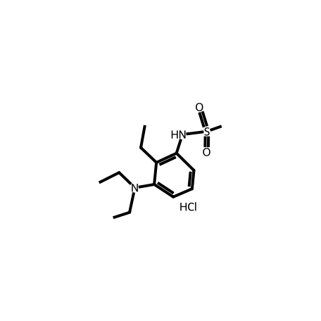 CCc1c(NS(C)(=O)=O)cccc1N(CC)CC.Cl